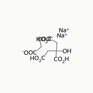 O=C(O)CC(O)(CC(=O)O)C(=O)O.O=C([O-])CC(=O)[O-].[Na+].[Na+]